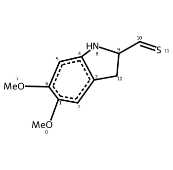 COc1cc2c(cc1OC)NC(C=S)C2